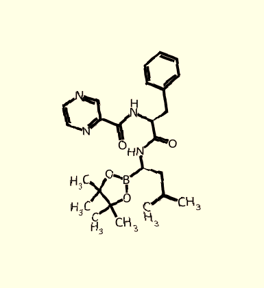 CC(C)C[C@H](NC(=O)[C@H](Cc1ccccc1)NC(=O)c1cnccn1)B1OC(C)(C)C(C)(C)O1